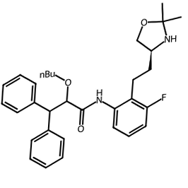 CCCCOC(C(=O)Nc1cccc(F)c1CC[C@H]1COC(C)(C)N1)C(c1ccccc1)c1ccccc1